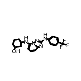 OC1CCCC(Nc2cccc3nc(Nc4ccc(C(F)(F)F)cc4)nn23)C1